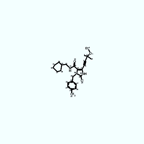 CCOC(C)(C)C#CC1=C(C(=O)NCC2CCCCC2)N(Cc2ccc(C(F)(F)F)cc2)C(Cl)N1